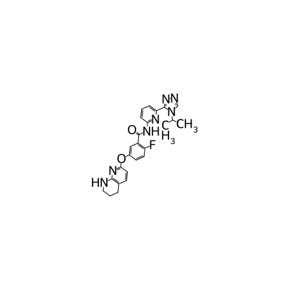 CC(C)n1cnnc1-c1cccc(NC(=O)c2cc(Oc3ccc4c(n3)NCCC4)ccc2F)n1